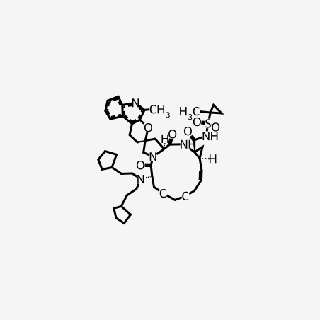 Cc1nc2ccccc2c2c1O[C@]1(CC2)C[C@H]2C(=O)N[C@]3(C(=O)NS(=O)(=O)C4(C)CC4)C[C@H]3C=CCCCCC[C@H](N(CCC3CCCC3)CCC3CCCC3)C(=O)N2C1